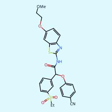 CCS(=O)(=O)c1cccc(C(Oc2ccc(C#N)cc2)C(=O)Nc2nc3ccc(OCCOC)cc3s2)c1